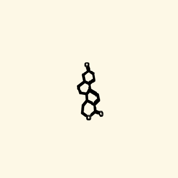 O=C1CC=C2C3=CC=C4C(=O)OCCC4C3CCC2C1